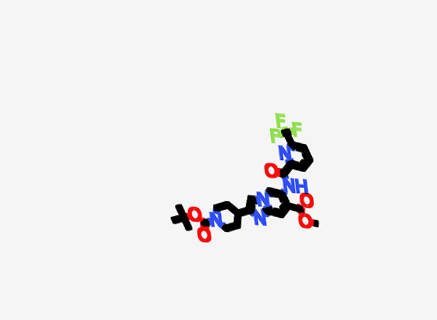 COC(=O)c1cc2nc(C3CCN(C(=O)OC(C)(C)C)CC3)cn2cc1NC(=O)c1cccc(C(F)(F)F)n1